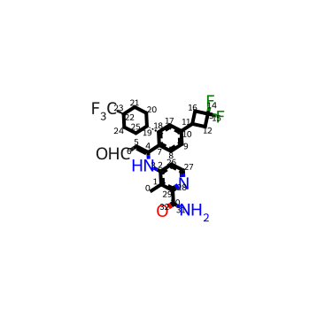 Cc1c(N/C(=C\C=O)c2ccc(C3CC(F)(F)C3)cc2[C@H]2CC[C@H](C(F)(F)F)CC2)ccnc1C(N)=O